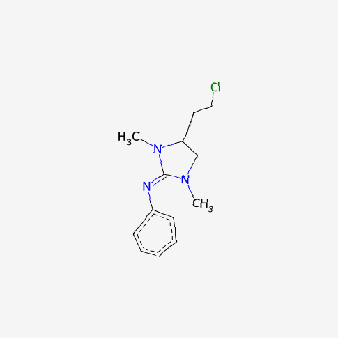 CN1CC(CCCl)N(C)C1=Nc1ccccc1